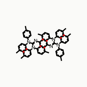 Cc1ccc(N(C(=Nc2ccc(N=C(N(c3ccc(C)cc3)c3ccc(C)cc3)N(c3ccc(C)cc3)c3ccc(C)cc3)cc2)N(c2ccc(C)cc2)c2ccc(C)cc2)c2ccc(C)cc2)cc1